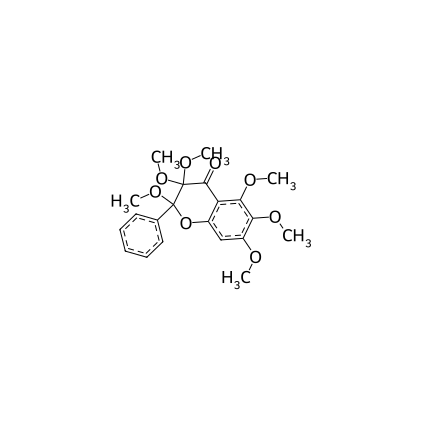 COc1cc2c(c(OC)c1OC)C(=O)C(OC)(OC)C(OC)(c1ccccc1)O2